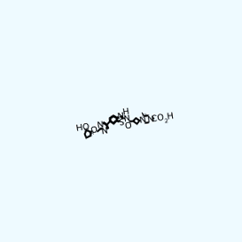 C[C@H]1CN(C(=O)O)CCN1C1CC(C(=O)Nc2nc3ccc(-c4cnc(CO[C@H]5CCC[C@@H]5O)nc4)cc3s2)C1